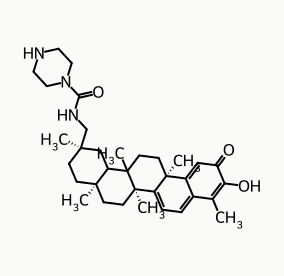 CC1=C(O)C(=O)C=C2C1=CC=C1[C@@]2(C)CCC2(C)C3C[C@](C)(CNC(=O)N4CCNCC4)CC[C@]3(C)CC[C@]12C